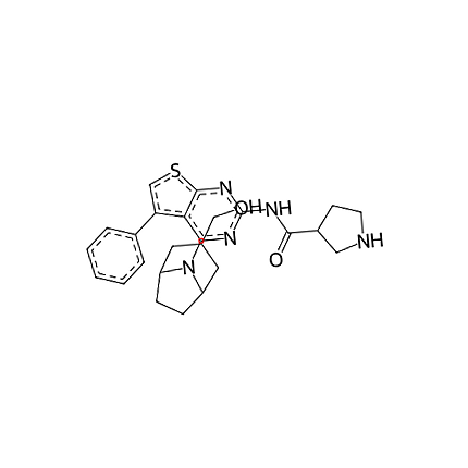 O=C(Nc1nc(N2C3CCC2CC(CO)C3)c2c(-c3ccccc3)csc2n1)C1CCNC1